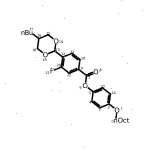 CCCCCCCCOc1ccc(OC(=O)c2ccc(C3OCC(CCCC)CO3)c(F)c2)cc1